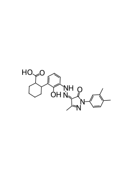 CC1=NN(c2ccc(C)c(C)c2)C(=O)C1=NNc1cccc(C2CCCCC2C(=O)O)c1O